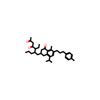 CCCC(CC1CC(=O)c2c(C)c(CCCc3ccc(C)cc3)cc(C(C)C)c2C1)C(CC)C(=O)CC(C)=O